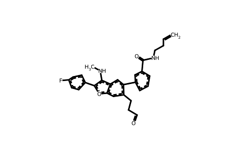 C=CCCNC(=O)c1cccc(-c2cc3c(NC)c(-c4ccc(F)cc4)oc3cc2CCC=O)c1